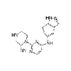 CCCC1CNCCN1c1nccc(Nc2ccc3[nH]ncc3c2)n1